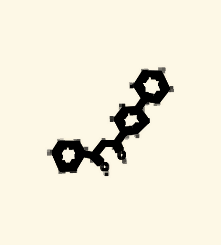 O=C(CC(=O)c1ccc(-c2ccccc2)cc1)c1ccccc1